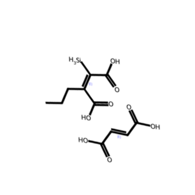 CCC/C(C(=O)O)=C(\[SiH3])C(=O)O.O=C(O)/C=C/C(=O)O